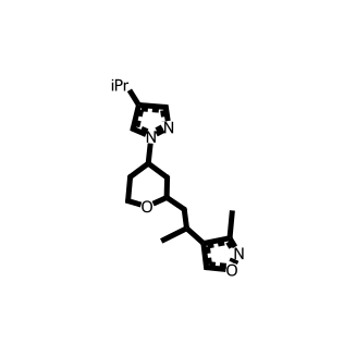 Cc1nocc1C(C)CC1CC(n2cc(C(C)C)cn2)CCO1